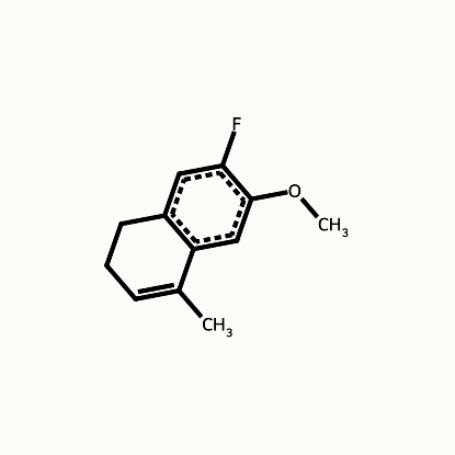 COc1cc2c(cc1F)CCC=C2C